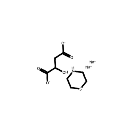 C1CSCCN1.O=C([O-])CC(O)C(=O)[O-].[Na+].[Na+]